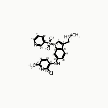 CNCc1cn(S(=O)(=O)c2cccnc2)c2cc(Nc3ccc(C)nc3Cl)ccc12